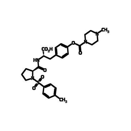 Cc1ccc(S(=O)(=O)N2CCC[C@H]2C(=O)N[C@@H](Cc2ccc(OC(=O)N3CCN(C)CC3)cc2)C(=O)O)cc1